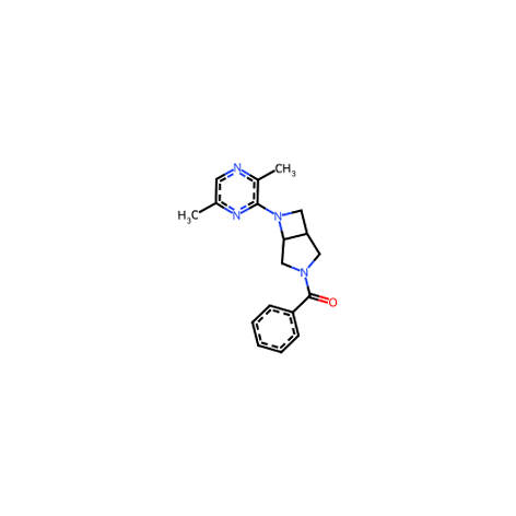 Cc1cnc(C)c(N2CC3CN(C(=O)c4ccccc4)CC32)n1